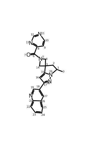 CC1CC2(CN(C(=O)c3ccncn3)C2)c2cc(-c3cnc4ccccc4c3)nn21